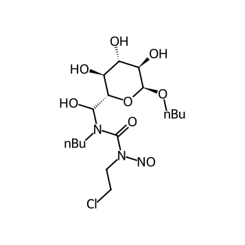 CCCCO[C@H]1O[C@H](C(O)N(CCCC)C(=O)N(CCCl)N=O)[C@@H](O)[C@H](O)[C@H]1O